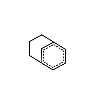 c1cc2cc(c1)CCC2